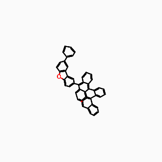 c1ccc(-c2ccc3oc4ccc(-c5c6ccccc6c(-c6ccccc6-c6cccc7ccccc67)c6ccccc56)cc4c3c2)cc1